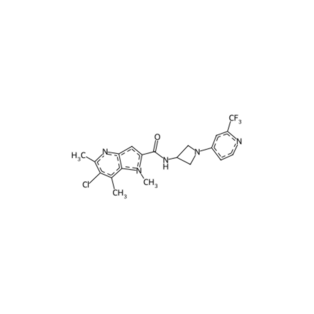 Cc1nc2cc(C(=O)NC3CN(c4ccnc(C(F)(F)F)c4)C3)n(C)c2c(C)c1Cl